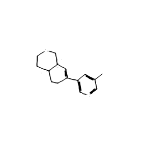 Fc1cncc(C2=C[C@@H]3CNCC[C@@H]3CC2)c1